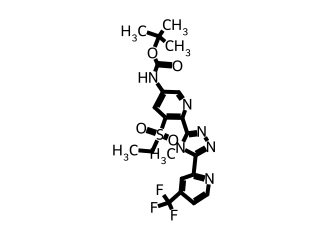 CCS(=O)(=O)c1cc(NC(=O)OC(C)(C)C)cnc1-c1nnc(-c2cc(C(F)(F)F)ccn2)n1C